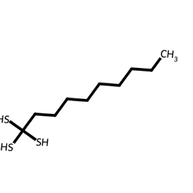 CCCCCCCCCC(S)(S)S